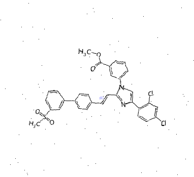 COC(=O)c1cccc(-n2cc(-c3ccc(Cl)cc3Cl)nc2/C=C/c2ccc(-c3cccc(S(C)(=O)=O)c3)cc2)c1